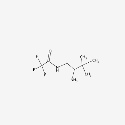 CC(C)(C)C(N)CNC(=O)C(F)(F)F